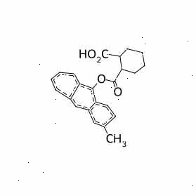 Cc1ccc2c(OC(=O)C3CCCCC3C(=O)O)c3ccccc3cc2c1